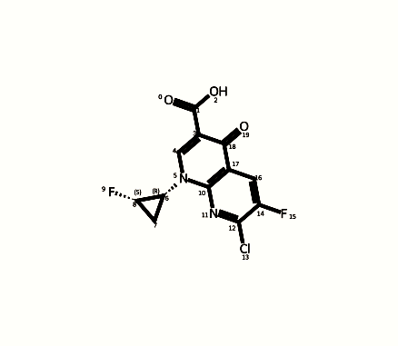 O=C(O)c1cn([C@@H]2C[C@@H]2F)c2nc(Cl)c(F)cc2c1=O